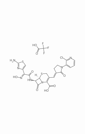 Nc1nc(C(=NO)C(=O)N[C@@H]2C(=O)N3C(C(=O)O)=C(C=C4CCN(c5cccnc5Cl)C4=O)CS[C@H]23)cs1.O=C(O)C(F)(F)F